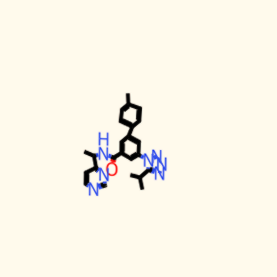 Cc1ccc(-c2cc(C(=O)NC(C)c3ccncn3)cc(-n3nnnc3C(C)C)c2)cc1